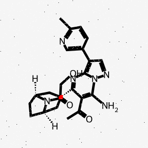 CC(=O)c1c([C@@H]2C[C@H]3CC[C@@H](C2)N3C(=O)CO)nc2c(-c3ccc(C)nc3)cnn2c1N